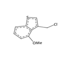 COc1cccc2scc(CCl)c12